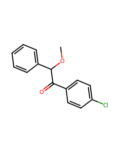 COC(C(=O)c1ccc(Cl)cc1)c1ccccc1